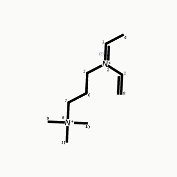 C=C/[N+](=C\C)CCC[N+](C)(C)C